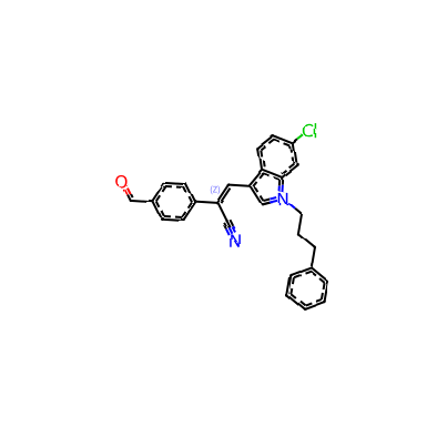 N#C/C(=C\c1cn(CCCc2ccccc2)c2cc(Cl)ccc12)c1ccc(C=O)cc1